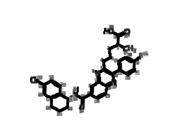 C[C@@H](CCCc1nc2cc(C(=O)N[C@@H]3CCCc4cc(Cl)ccc43)ccc2nc1-c1ccc(F)cc1)C(=O)O